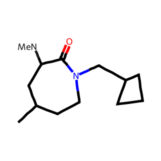 CNC1CC(C)CCN(CC2CCC2)C1=O